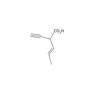 C#CC(C=CC)C(=O)O